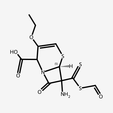 CCOC1=CS[C@@H]2N(C(=O)C2(N)C(=S)SC=O)C1C(=O)O